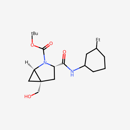 CCC1CCCC(NC(=O)[C@@H]2C[C@@]3(CO)C[C@H]3N2C(=O)OC(C)(C)C)C1